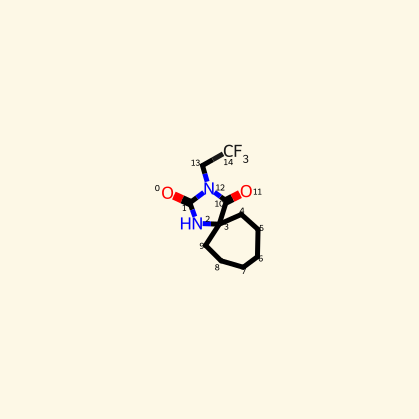 O=C1NC2(CCCCCC2)C(=O)N1CC(F)(F)F